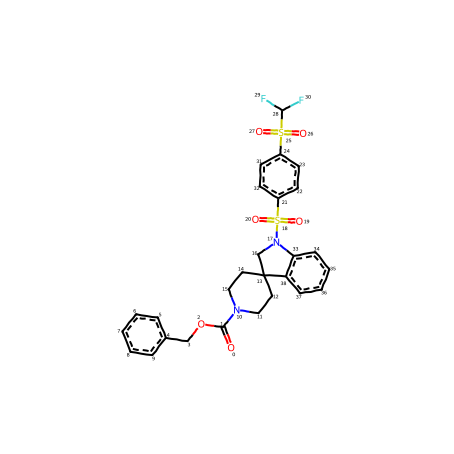 O=C(OCc1ccccc1)N1CCC2(CC1)CN(S(=O)(=O)c1ccc(S(=O)(=O)C(F)F)cc1)c1ccccc12